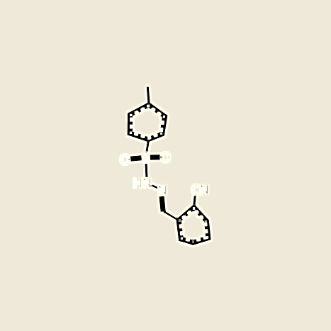 Cc1ccc(S(=O)(=O)NN=Cc2ccccc2C#N)cc1